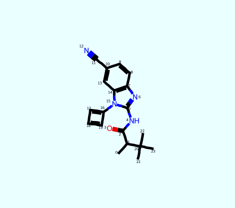 CC(C(=O)Nc1nc2ccc(C#N)cc2n1C1=CC=C1)C(C)(C)C